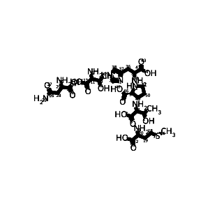 CC(O)C(N)C(=O)O.CC(O)C(N)C(=O)O.CSCCC(N)C(=O)O.NC(=O)CC(N)C(=O)O.NC(Cc1c[nH]cn1)C(=O)O.O=C(O)[C@@H]1CCCN1